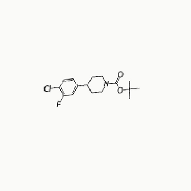 CC(C)(C)OC(=O)N1CCC(c2ccc(Cl)c(F)c2)CC1